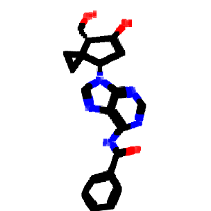 O=C(Nc1ncnc2c1ncn2[C@H]1C[C@H](O)[C@@H](CO)C12CC2)c1ccccc1